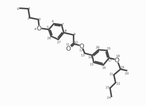 CCCCOc1ccc(CC(=O)OCc2ccc(OC(C)CCCC)cc2)cc1